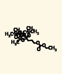 CCOC(=O)OCCC[Si](C)(O[Si](C)(C)C)O[Si](C)(C)O[Si](C)(C)C